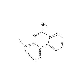 NC(=O)c1ccccc1-c1cc(F)ccn1